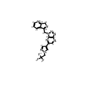 FC(F)(F)Cn1cc(-c2cnc3nnn(CC4=NCc5ncccc54)c3n2)cn1